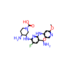 COc1cc(Nc2nc(NC3CN(C(=O)O)CCC3N)c(F)cc2C(N)=O)ccn1